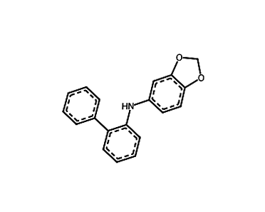 c1ccc(-c2ccccc2Nc2ccc3c(c2)OCO3)cc1